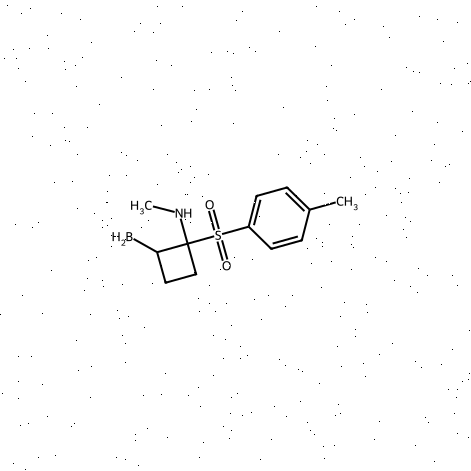 BC1CCC1(NC)S(=O)(=O)c1ccc(C)cc1